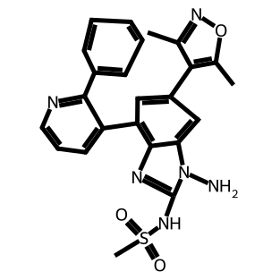 Cc1noc(C)c1-c1cc(-c2cccnc2-c2ccccc2)c2nc(NS(C)(=O)=O)n(N)c2c1